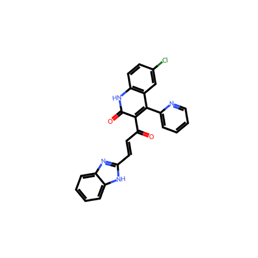 O=C(/C=C/c1nc2ccccc2[nH]1)c1c(-c2ccccn2)c2cc(Cl)ccc2[nH]c1=O